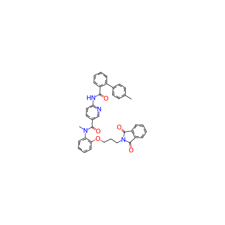 Cc1ccc(-c2ccccc2C(=O)Nc2ccc(C(=O)N(C)c3ccccc3OCCCN3C(=O)c4ccccc4C3=O)cn2)cc1